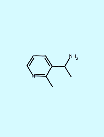 Cc1ncccc1C(C)N